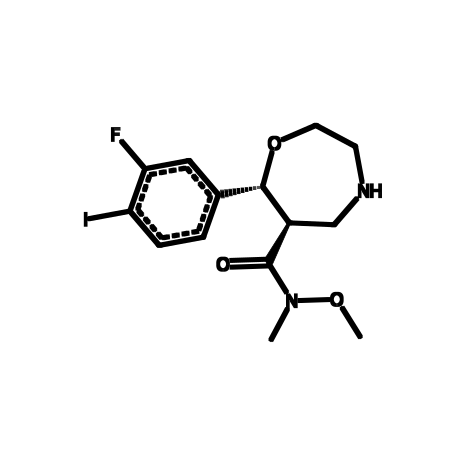 CON(C)C(=O)[C@@H]1CNCCO[C@H]1c1ccc(I)c(F)c1